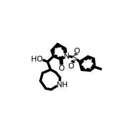 Cc1ccc(S(=O)(=O)n2cccc(C(O)C3CCCCNCC3)c2=O)cc1